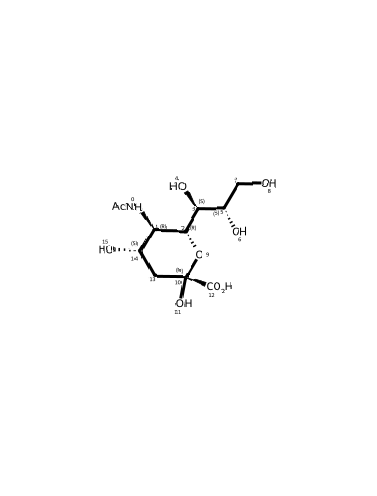 CC(=O)N[C@H]1[C@H]([C@@H](O)[C@@H](O)CO)O[C@@](O)(C(=O)O)C[C@@H]1O